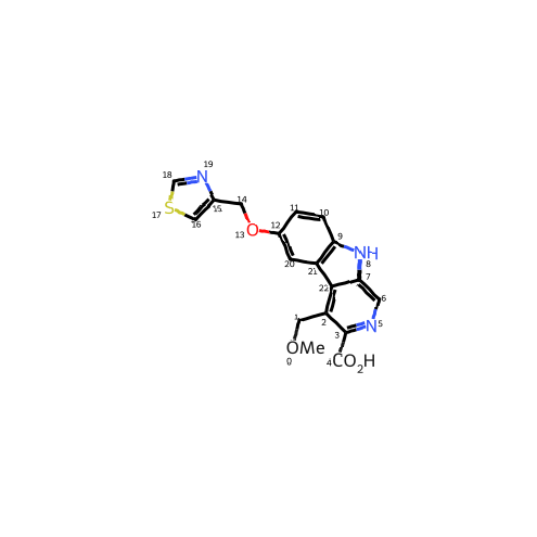 COCc1c(C(=O)O)ncc2[nH]c3ccc(OCc4cscn4)cc3c12